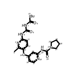 Cc1nc(NC(=O)NC(=O)C(C)(C)C)ccc1Oc1ccnc(NC(=O)N2CCCC2)c1